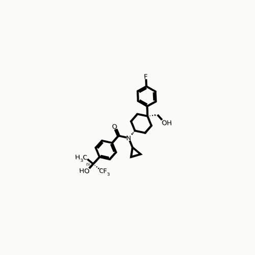 C[C@](O)(c1ccc(C(=O)N(C2CC2)[C@H]2CC[C@](CO)(c3ccc(F)cc3)CC2)cc1)C(F)(F)F